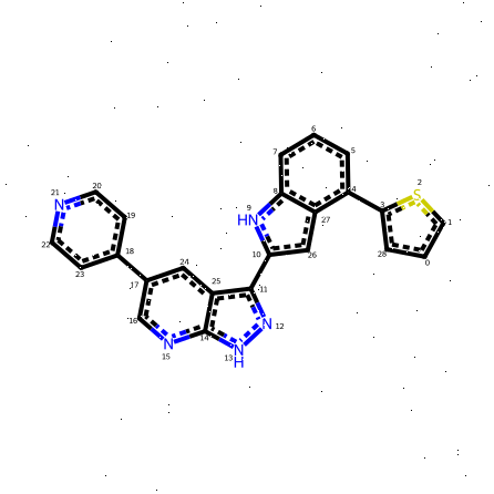 c1csc(-c2cccc3[nH]c(-c4n[nH]c5ncc(-c6ccncc6)cc45)cc23)c1